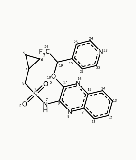 O=S(=O)(CC1CC1)Nc1nc2ccccc2nc1OC(c1ccncc1)C(F)(F)F